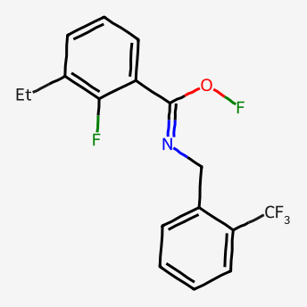 CCc1cccc(C(=NCc2ccccc2C(F)(F)F)OF)c1F